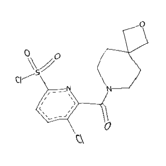 O=C(c1nc(S(=O)(=O)Cl)ccc1Cl)N1CCC2(CC1)COC2